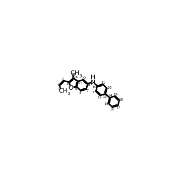 C/C=C\c1oc2ccc(Nc3ccc(-c4ccccc4)cc3)cc2c1C